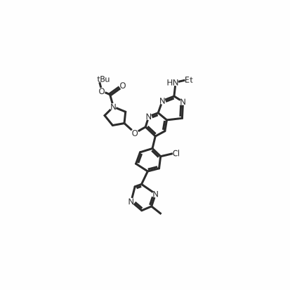 CCNc1ncc2cc(-c3ccc(-c4cncc(C)n4)cc3Cl)c(OC3CCN(C(=O)OC(C)(C)C)C3)nc2n1